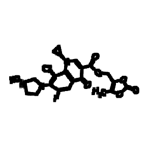 Cc1oc(=O)oc1COC(=O)c1cn(C2CC2)c2c(Cl)c(N3CC[C@H](O)C3)c(F)cc2c1=O